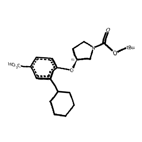 CC(C)(C)OC(=O)N1CC[C@H](Oc2ccc(C(=O)O)cc2C2CCCCC2)C1